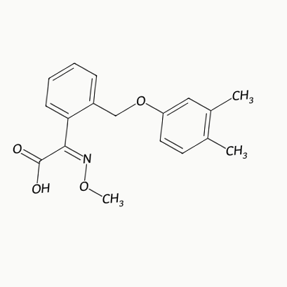 CON=C(C(=O)O)c1ccccc1COc1ccc(C)c(C)c1